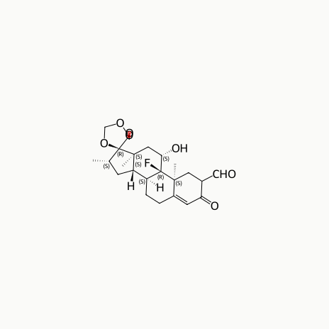 C[C@H]1C[C@H]2[C@@H]3CCC4=CC(=O)C(C=O)C[C@]4(C)[C@@]3(F)[C@@H](O)C[C@]2(C)[C@]12OCOC21COCO1